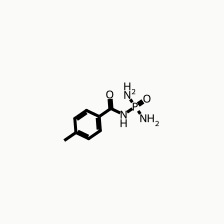 Cc1ccc(C(=O)NP(N)(N)=O)cc1